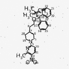 Cc1nc(N2CCC(CCO[Si](c3ccccc3)(c3ccccc3)C(C)(C)C)CC2)ccc1[N+](=O)[O-]